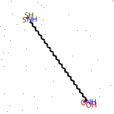 O=C(CCCCCCCCCCCCCCCCCCCCCCCCCCCCCCCCCCCCCCNC(=S)S)NO